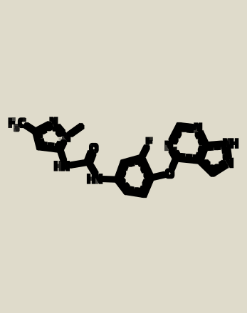 Cn1nc(C(F)(F)F)cc1NC(=O)Nc1ccc(Oc2ncnc3[nH]ncc23)c(F)c1